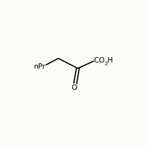 [CH2]CCCC(=O)C(=O)O